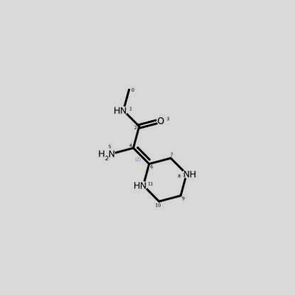 CNC(=O)/C(N)=C1\CNCCN1